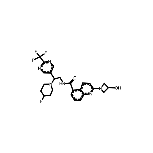 O=C(NCC(c1cnc(C(F)(F)F)nc1)N1CCC(F)CC1)c1cccc2nc(N3CC(O)C3)ccc12